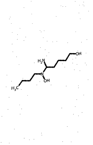 CCCCN(O)C(N)CCCCO